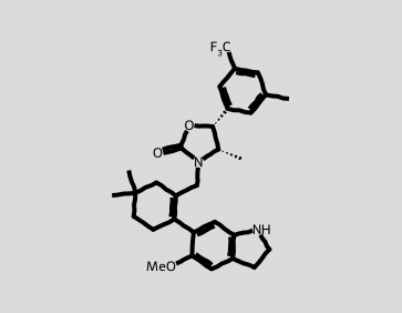 COc1cc2c(cc1C1=C(CN3C(=O)O[C@H](c4cc(C)cc(C(F)(F)F)c4)[C@@H]3C)CC(C)(C)CC1)NCC2